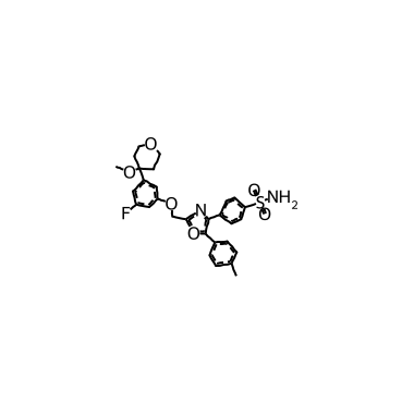 COC1(c2cc(F)cc(OCc3nc(-c4ccc(S(N)(=O)=O)cc4)c(-c4ccc(C)cc4)o3)c2)CCOCC1